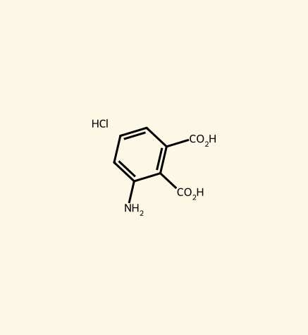 Cl.Nc1cccc(C(=O)O)c1C(=O)O